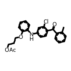 CC(=O)OCCCOc1ccccc1Nc1ccc(C(=O)c2ccccc2C)c(Cl)c1